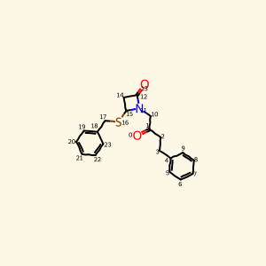 O=C(CCc1ccccc1)CN1C(=O)CC1SCc1ccccc1